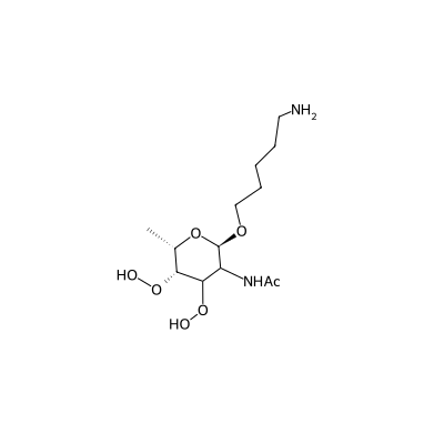 CC(=O)NC1C(OO)[C@H](OO)[C@H](C)O[C@H]1OCCCCCN